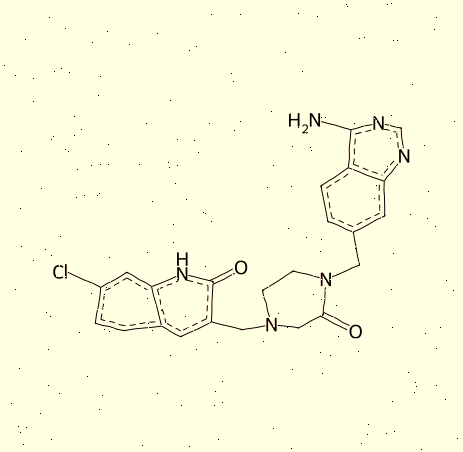 Nc1ncnc2cc(CN3CCN(Cc4cc5ccc(Cl)cc5[nH]c4=O)CC3=O)ccc12